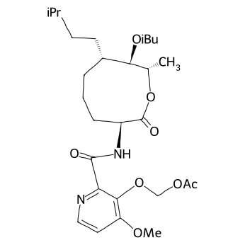 COc1ccnc(C(=O)N[C@H]2CCC[C@H](CCC(C)C)[C@@H](OCC(C)C)[C@H](C)OC2=O)c1OCOC(C)=O